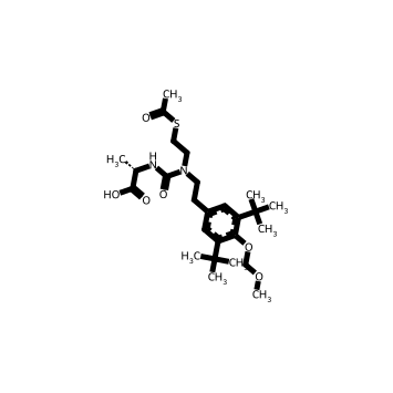 COCOc1c(C(C)(C)C)cc(CCN(CCSC(C)=O)C(=O)N[C@@H](C)C(=O)O)cc1C(C)(C)C